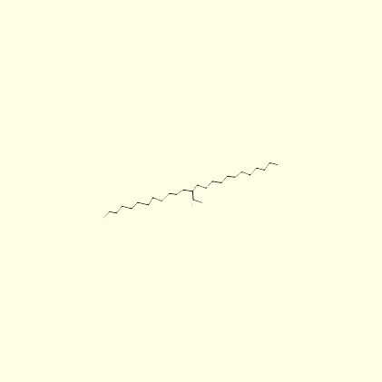 CCCCCCCCCCCCC(CCCCCCCCCCCC)C(C)=O